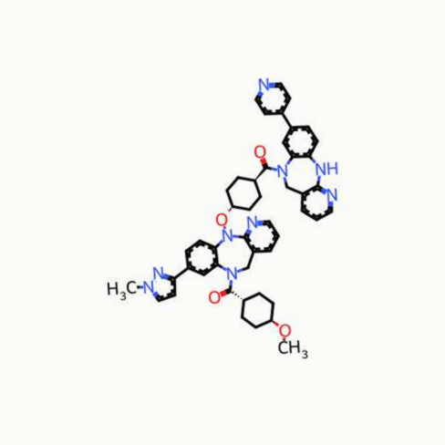 CO[C@H]1CC[C@H](C(=O)N2Cc3cccnc3N(O[C@H]3CC[C@H](C(=O)N4Cc5cccnc5Nc5ccc(-c6ccncc6)cc54)CC3)c3ccc(-c4ccn(C)n4)cc32)CC1